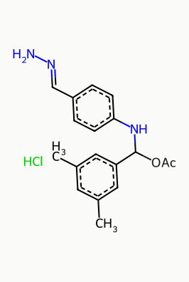 CC(=O)OC(Nc1ccc(C=NN)cc1)c1cc(C)cc(C)c1.Cl